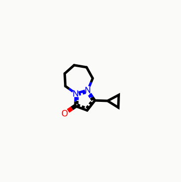 O=c1cc(C2CC2)n2n1CCCCC2